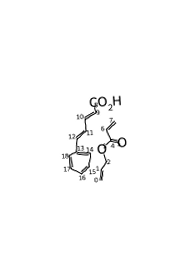 C=CCOC(=O)C=C.O=C(O)C=CC=Cc1ccccc1